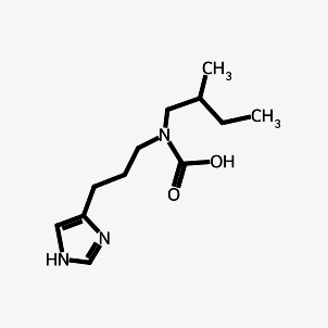 CCC(C)CN(CCCc1c[nH]cn1)C(=O)O